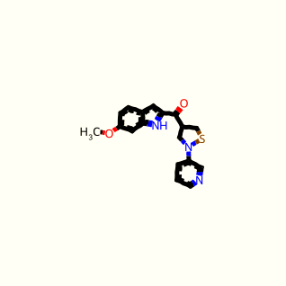 COc1ccc2cc(C(=O)C3CSN(c4cccnc4)C3)[nH]c2c1